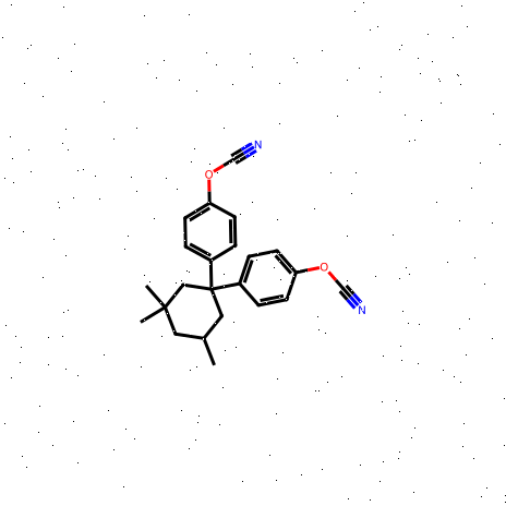 CC1CC(C)(C)CC(c2ccc(OC#N)cc2)(c2ccc(OC#N)cc2)C1